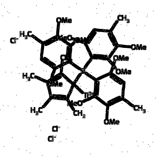 COc1cc(C)c(OC)c(OC)c1[Si](c1c(OC)cc(C)c(OC)c1OC)(c1c(OC)cc(C)c(OC)c1OC)[C]1([Ti+3])C(C)=C(C)C(C)=C1C.[Cl-].[Cl-].[Cl-]